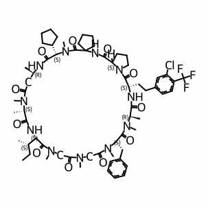 CC[C@H](C)[C@@H]1NC(=O)[C@H](C)N(C)C(=O)C[C@@H](C)NC(=O)[C@H](C2CCCC2)N(C)C(=O)C2(CCCC2)NC(=O)[C@@H]2CCCN2C(=O)[C@H](CCc2ccc(C(F)(F)F)c(Cl)c2)NC(=O)[C@@H](C)N(C)C(=O)[C@H](Cc2ccccc2)N(C)C(=O)CN(C)C(=O)CN(C)C1=O